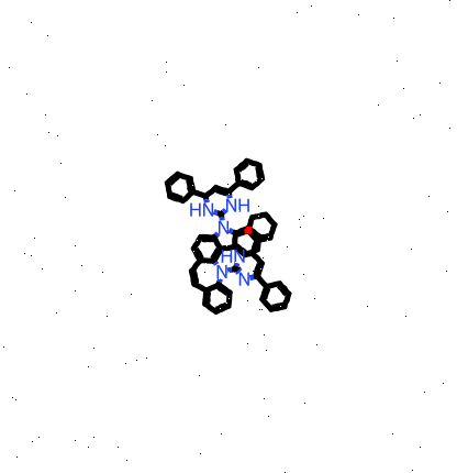 C1=Cc2ccc3c(c2N(C2=NC(c4ccccc4)=CC(C4=CCCCC4)N2)c2ccccc21)c1ccccc1n3C1NC(c2ccccc2)=CC(c2ccccc2)N1